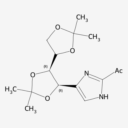 CC(=O)c1nc([C@H]2OC(C)(C)O[C@H]2C2COC(C)(C)O2)c[nH]1